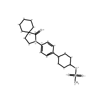 CS(=O)(=O)OC1CCC(c2ccc(N3CCC4(CCCCC4)C3=O)cc2)CC1